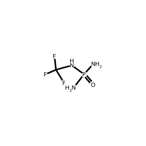 NP(N)(=O)NC(F)(F)F